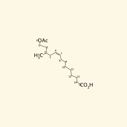 CC(=O)OCCC(C)C/C=C\CCCCCCCC(=O)O